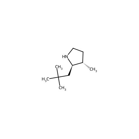 C[C@H]1CCN[C@@H]1CC(C)(C)C